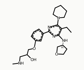 CCc1c(N[C@@H]2CCOC2)nc(-c2cccc(OCC(O)CNC)c2)nc1N1CCCCC1